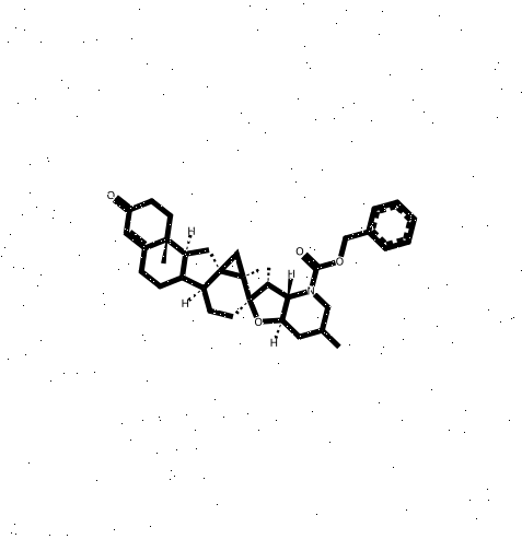 CC1C[C@H]2O[C@]3(CC[C@H]4C5CCC6=CC(=O)CC[C@]6(C)[C@H]5C[C@@]45C[C@]53C)[C@H](C)[C@@H]2N(C(=O)OCc2ccccc2)C1